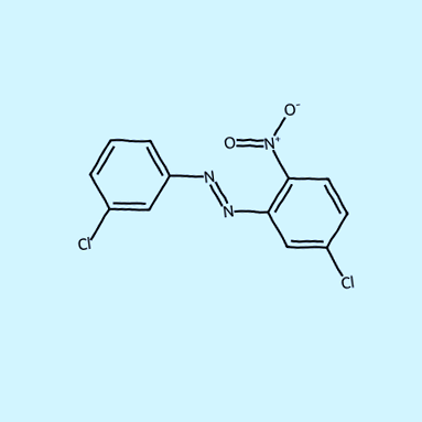 O=[N+]([O-])c1ccc(Cl)cc1/N=N/c1cccc(Cl)c1